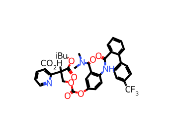 CCC(C)OC(=O)C(COC(=O)Oc1ccc(NC(=O)c2ccccc2-c2ccc(C(F)(F)F)cc2)c(C(=O)N(C)C)c1)(C(=O)O)c1ccccn1